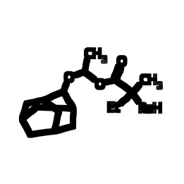 CC[C](C)([RaH])C(=O)OC(C)OC1C2CC3CC(C2)CC1C3